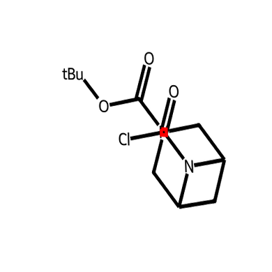 CC(C)(C)OC(=O)N1CC2CC(C1)N2C(=O)Cl